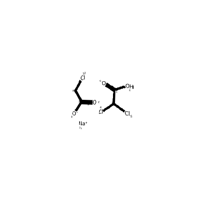 O=C(O)C(Cl)Cl.O=C([O-])CCl.[Na+]